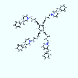 C(#Cc1cc(C#CCCC[n+]2cccc(Cc3ccccc3)c2)c(C#CCCC[n+]2cccc(Cc3ccccc3)c2)cc1C#CCCC[n+]1cccc(Cc2ccccc2)c1)CCC[n+]1cccc(Cc2ccccc2)c1